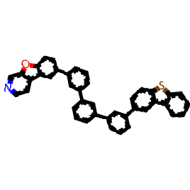 c1cc(-c2cccc(-c3ccc4oc5cnccc5c4c3)c2)cc(-c2cccc(-c3ccc4sc5ccccc5c4c3)c2)c1